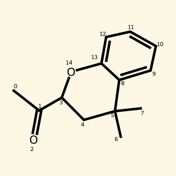 CC(=O)C1CC(C)(C)c2ccccc2O1